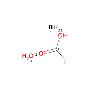 CC(=O)O.O.[BiH3]